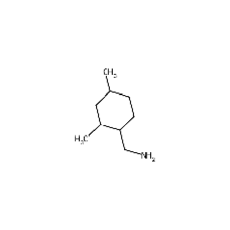 CC1CCC(CN)C(C)C1